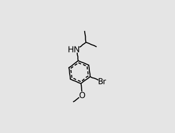 COc1ccc(NC(C)C)cc1Br